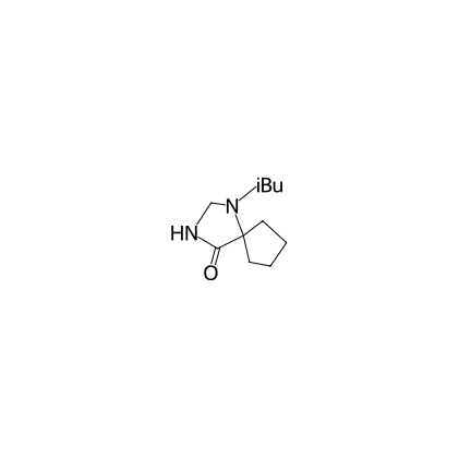 CCC(C)N1CNC(=O)C12CCCC2